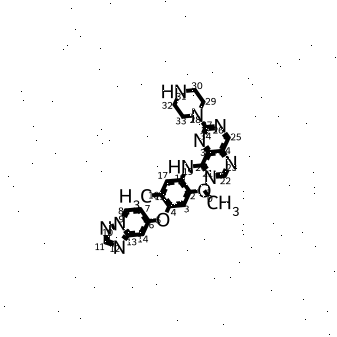 COc1cc(Oc2ccn3ncnc3c2)c(C)cc1Nc1ncnc2cnc(N3CCNCC3)nc12